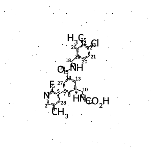 Cc1cnc(F)c(-c2cc(CNC(=O)O)cc(C(=O)NCc3ccc(Cl)c(C)c3)c2)c1